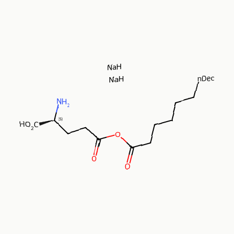 CCCCCCCCCCCCCCCC(=O)OC(=O)CC[C@H](N)C(=O)O.[NaH].[NaH]